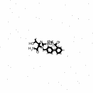 CCCCc1nc(C(C)O)c(C(N)=O)n1Cc1ccc(-c2ccccc2C(=O)OC(C)(C)C)cc1